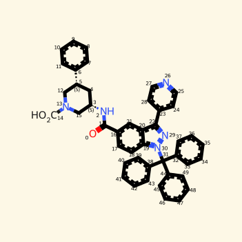 O=C(N[C@H]1C[C@@H](c2ccccc2)CN(C(=O)O)C1)c1ccc2c(c1)c(-c1ccncc1)nn2C(c1ccccc1)(c1ccccc1)c1ccccc1